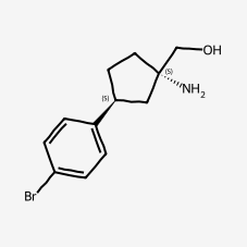 N[C@@]1(CO)CC[C@H](c2ccc(Br)cc2)C1